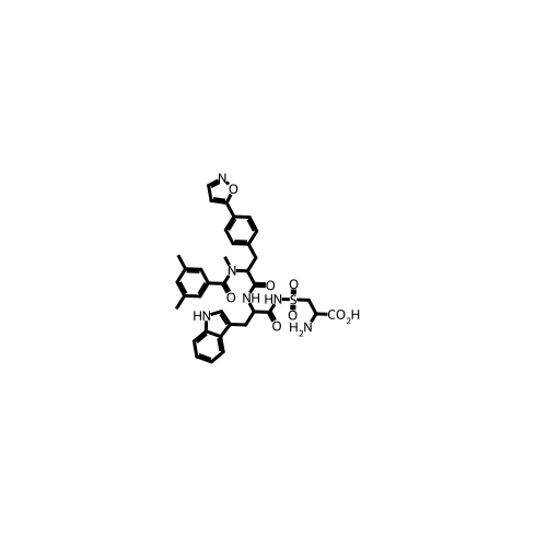 Cc1cc(C)cc(C(=O)N(C)C(Cc2ccc(-c3ccno3)cc2)C(=O)NC(Cc2c[nH]c3ccccc23)C(=O)NS(=O)(=O)CC(N)C(=O)O)c1